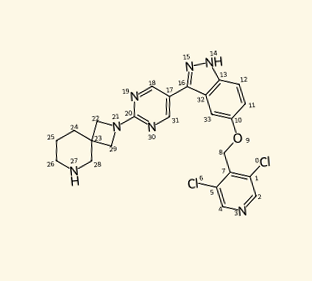 Clc1cncc(Cl)c1COc1ccc2[nH]nc(-c3cnc(N4CC5(CCCNC5)C4)nc3)c2c1